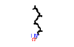 CC(C)=CCCC(C)=CCCC(C)=CCCC(C)=CCNC=O